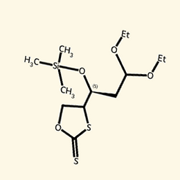 CCOC(C[C@H](O[Si](C)(C)C)C1COC(=S)S1)OCC